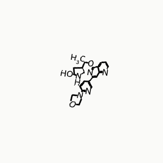 C[C@@H](Oc1nc(-c2ccc(N3CCOCC3)nc2)cc2ncccc12)[C@H]1CNC(O)C1